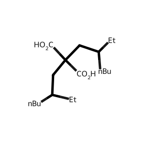 CCCCC(CC)CC(CC(CC)CCCC)(C(=O)O)C(=O)O